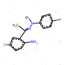 C/C(=N\N(c1ccc(F)cc1)C(C)C)c1cc(Cl)ccc1N